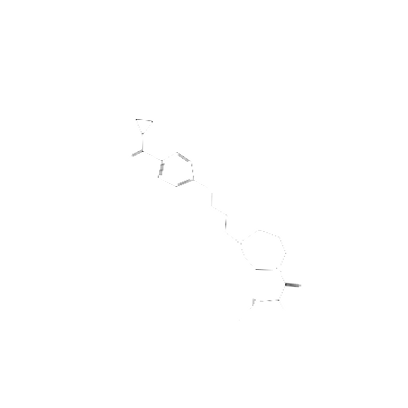 CCC(NC(=O)O)C(=O)N1CCCN(CCCOc2ccc(C(=O)C3CC3)cc2)CC1